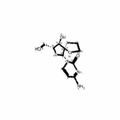 Nc1ccn([C@@H]2O[C@H](CO)[C@@H](O)[C@]23CCCO3)c(=O)n1